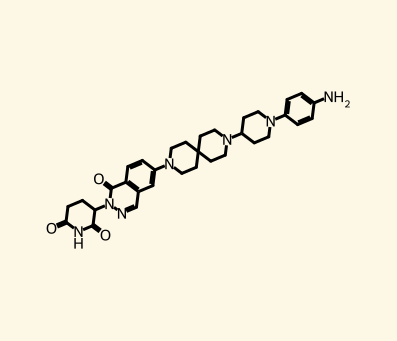 Nc1ccc(N2CCC(N3CCC4(CCN(c5ccc6c(=O)n(C7CCC(=O)NC7=O)ncc6c5)CC4)CC3)CC2)cc1